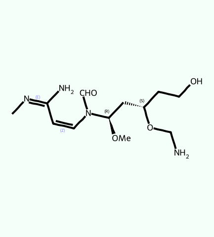 C/N=C(N)\C=C/N(C=O)[C@@H](C[C@H](CCO)OCN)OC